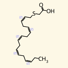 CC/C=C\C/C=C\C/C=C\C/C=C\C/C=C\CSCC(=O)O